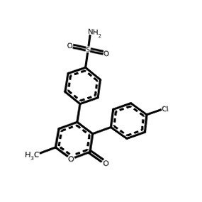 Cc1cc(-c2ccc(S(N)(=O)=O)cc2)c(-c2ccc(Cl)cc2)c(=O)o1